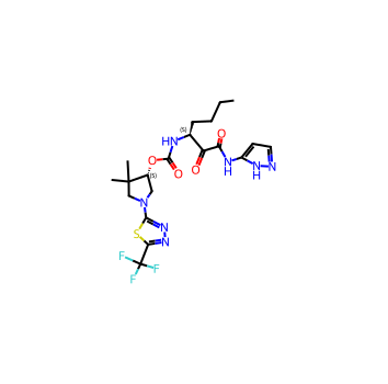 CCCC[C@H](NC(=O)O[C@@H]1CN(c2nnc(C(F)(F)F)s2)CC1(C)C)C(=O)C(=O)Nc1ccn[nH]1